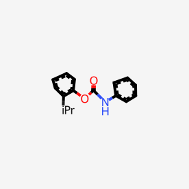 CC(C)c1ccccc1OC(=O)Nc1ccccc1